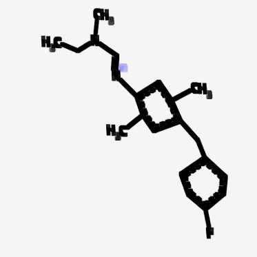 CCN(C)/C=N/c1cc(C)c(Cc2ccc(F)cc2)cc1C